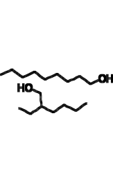 CCCCC(CC)CO.CCCCCCCCCO